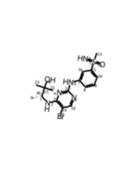 C[C@@H](Nc1nc(Nc2cccc(S(C)(=N)=O)c2)ncc1Br)C(C)(C)O